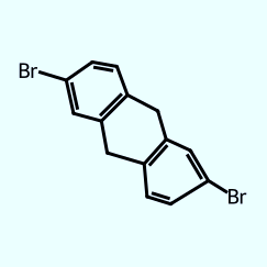 Brc1ccc2c(c1)Cc1ccc(Br)cc1C2